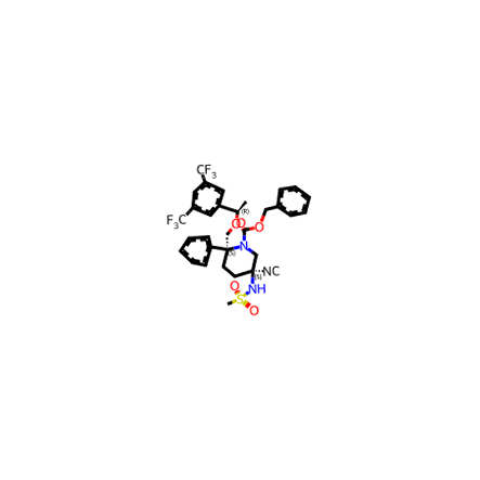 [C-]#[N+][C@]1(NS(C)(=O)=O)CC[C@@](CO[C@H](C)c2cc(C(F)(F)F)cc(C(F)(F)F)c2)(c2ccccc2)N(C(=O)OCc2ccccc2)C1